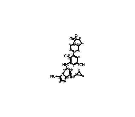 N#Cc1cc(Nc2nc(NC3CC3)c3ncc(C#N)n3n2)c(Cl)c(N2CCN3C(CCS3(=O)=O)C2)c1